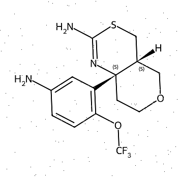 NC1=N[C@@]2(c3cc(N)ccc3OC(F)(F)F)CCOC[C@H]2CS1